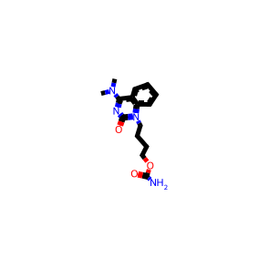 CN(C)c1nc(=O)n(CCCCOC(N)=O)c2ccccc12